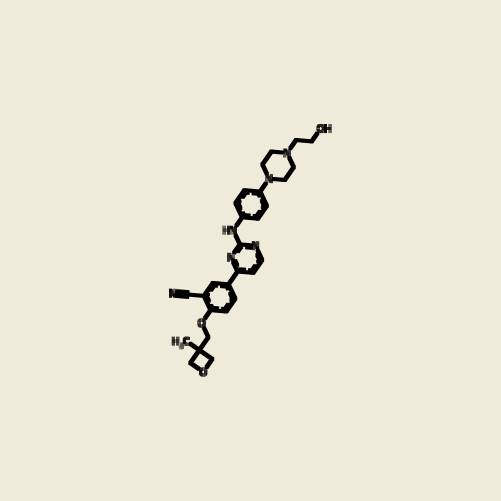 CC1(COc2ccc(-c3ccnc(Nc4ccc(N5CCN(CCO)CC5)cc4)n3)cc2C#N)COC1